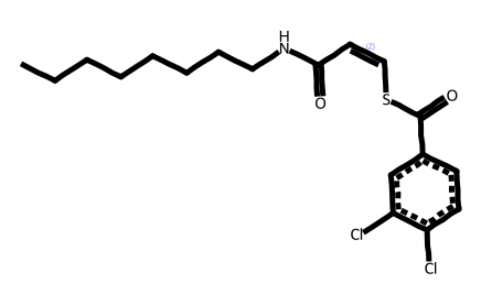 CCCCCCCCNC(=O)/C=C\SC(=O)c1ccc(Cl)c(Cl)c1